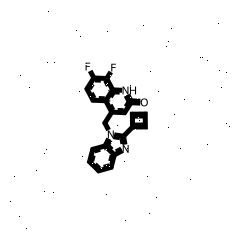 O=c1cc(Cn2c(C3=CC=C3)nc3ccccc32)c2ccc(F)c(F)c2[nH]1